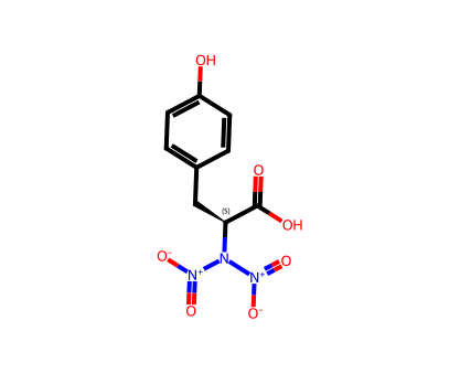 O=C(O)[C@H](Cc1ccc(O)cc1)N([N+](=O)[O-])[N+](=O)[O-]